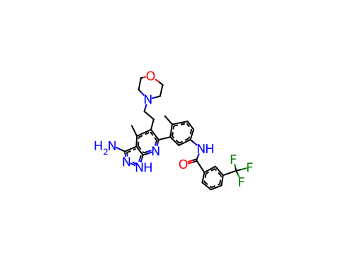 Cc1ccc(NC(=O)c2cccc(C(F)(F)F)c2)cc1-c1nc2[nH]nc(N)c2c(C)c1CCN1CCOCC1